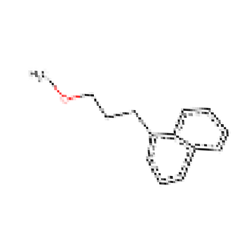 COCCCc1cccc2ccccc12